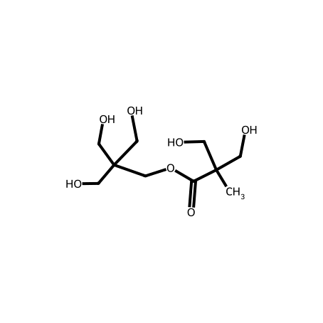 CC(CO)(CO)C(=O)OCC(CO)(CO)CO